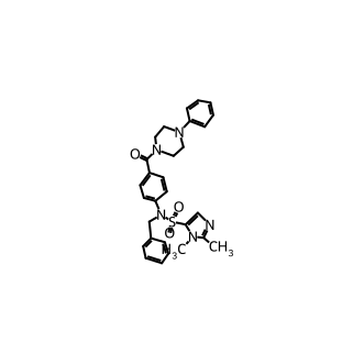 Cc1ncc(S(=O)(=O)N(Cc2ccccc2)c2ccc(C(=O)N3CCN(c4ccccc4)CC3)cc2)n1C